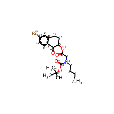 CCCCN(CC(=O)OC1CCc2cc(Br)ccc2C1=O)C(=O)OC(C)(C)C